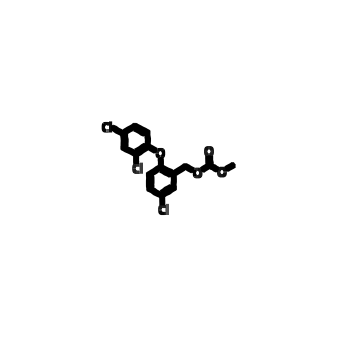 COC(=O)OCc1cc(Cl)ccc1Oc1ccc(Cl)cc1Cl